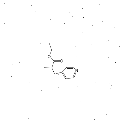 CCOC(=O)C(C)Cc1ccncc1